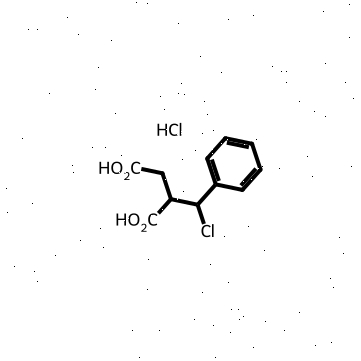 Cl.O=C(O)CC(C(=O)O)C(Cl)c1ccccc1